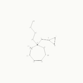 CCCCC1(CC2CC2)CCCCC[N]1